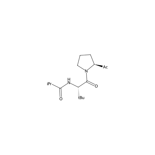 CC(=O)[C@@H]1CCCN1C(=O)[C@@H](NC(=O)C(C)C)C(C)(C)C